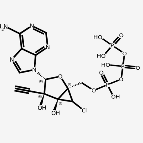 C#C[C@]1(O)[C@H](n2cnc3c(N)ncnc32)O[C@@]2(COP(=O)(O)OP(=O)(O)OP(=O)(O)O)C(Cl)[C@@]21O